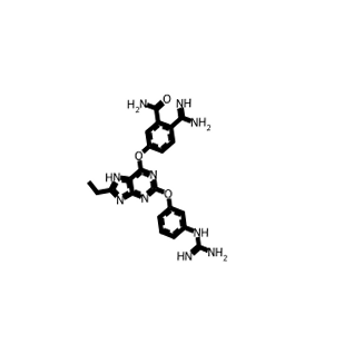 CCc1nc2nc(Oc3cccc(NC(=N)N)c3)nc(Oc3ccc(C(=N)N)c(C(N)=O)c3)c2[nH]1